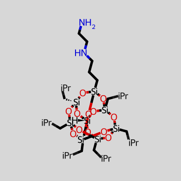 CC(C)C[Si]12O[Si@@H]3O[Si]4(CC(C)C)O[Si](CC(C)C)(O1)O[Si]1(CC(C)C)O[Si](CCCNCCN)(O2)O[Si@@](CC(C)C)(O3)O[Si](CC(C)C)(O4)O1